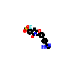 CCc1c(C(=O)N2CCOc3ccc(-c4ccc(C5=NCCN5)cc4)cc3C2)ccc(S(C)(=O)=O)c1F